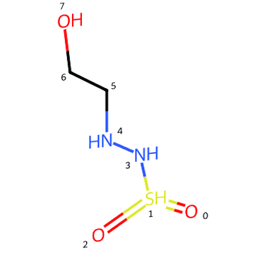 O=[SH](=O)NNCCO